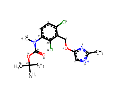 Cc1nc(OCc2c(Cl)ccc(N(C)C(=O)OC(C)(C)C)c2Cl)c[nH]1